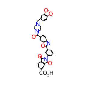 O=C(O)c1ccc2c(c1)C(=O)N(c1cccc(-c3nc4ccc(C(=O)N5CCN(Cc6ccc7c(c6)OCO7)CC5)cc4o3)c1)C2=O